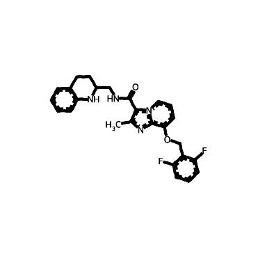 Cc1nc2c(OCc3c(F)cccc3F)cccn2c1C(=O)NCC1CCc2ccccc2N1